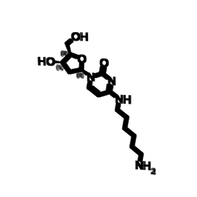 NCCCCCCNc1ccn([C@H]2C[C@H](O)[C@@H](CO)O2)c(=O)n1